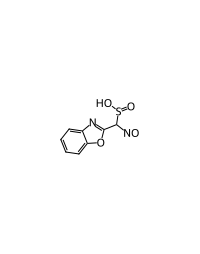 O=NC(c1nc2ccccc2o1)S(=O)O